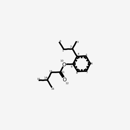 CCC(C)c1ccccc1OC(=O)CC(C)C